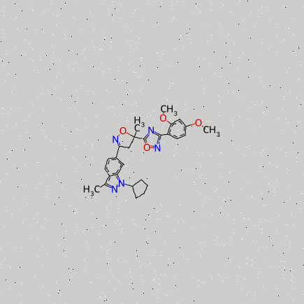 COc1ccc(-c2noc(C3(C)CC(c4ccc5c(C)nn(C6CCCC6)c5c4)=NO3)n2)c(OC)c1